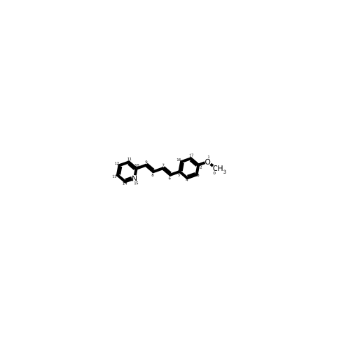 COc1ccc(C=CC=Cc2ccccn2)cc1